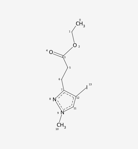 CCOC(=O)CCc1nn(C)cc1I